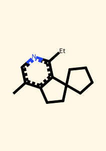 CCc1ncc(C)c2c1C1(CCCC1)CC2